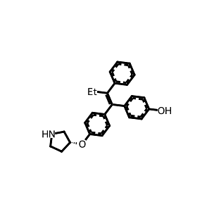 CCC(=C(c1ccc(O)cc1)c1ccc(O[C@@H]2CCNC2)cc1)c1ccccc1